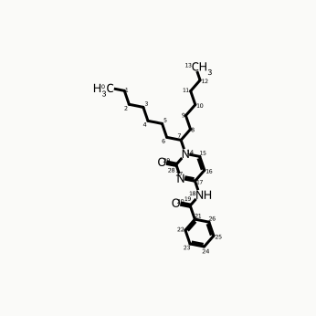 CCCCCCCC(CCCCCC)n1ccc(NC(=O)c2ccccc2)nc1=O